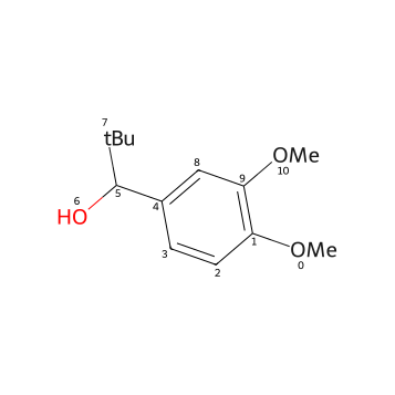 COc1ccc(C(O)C(C)(C)C)cc1OC